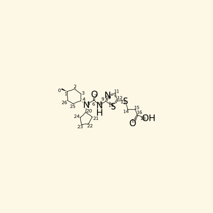 C[C@H]1CC[C@H](N(C(=O)Nc2ncc(SCCC(=O)O)s2)C2CCCC2)CC1